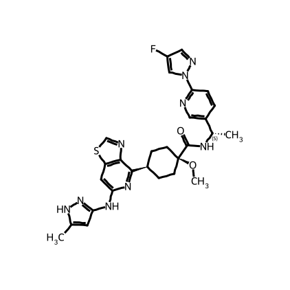 CO[C@]1(C(=O)N[C@@H](C)c2ccc(-n3cc(F)cn3)nc2)CC[C@H](c2nc(Nc3cc(C)[nH]n3)cc3scnc32)CC1